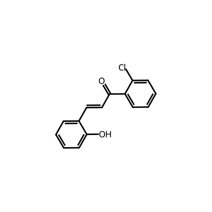 O=C(C=Cc1ccccc1O)c1ccccc1Cl